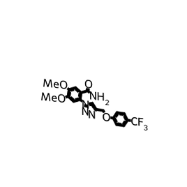 COc1cc(C(N)=O)c(-n2cc(COc3ccc(C(F)(F)F)cc3)nn2)cc1OC